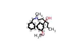 CCCC(O)(CCN(C)Cc1ccccc1)c1cccc(OC)c1